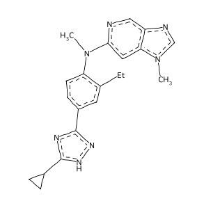 CCc1cc(-c2n[nH]c(C3CC3)n2)ccc1N(C)c1cc2c(cn1)ncn2C